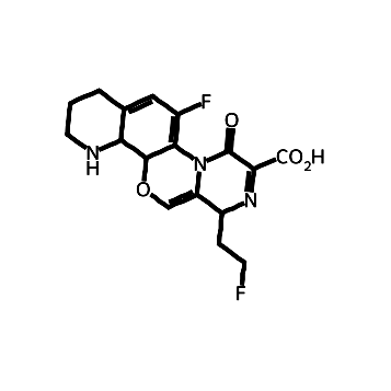 O=C(O)C1=NC(CCF)C2=COC3C(=C(F)C=C4CCCNC43)N2C1=O